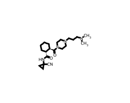 CN(C)CCCN1CCN(C(=O)[C@@H]2CCCC[C@H]2C(=O)NC2(C#N)CC2)CC1